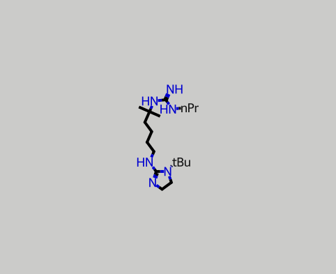 CCCNC(=N)NC(C)(C)CCCCNC1=NCCN1C(C)(C)C